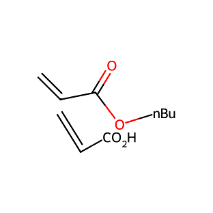 C=CC(=O)O.C=CC(=O)OCCCC